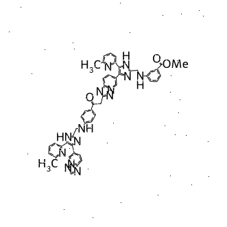 COC(=O)c1cccc(NCc2nc(-c3ccc4nc(CC(=O)c5ccc(NCc6nc(-c7ccc8ncnn8c7)c(-c7cccc(C)n7)[nH]6)cc5)nn4c3)c(-c3cccc(C)n3)[nH]2)c1